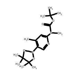 Cc1cc(N(C)C(=O)OC(C)(C)C)ncc1B1OC(C)(C)C(C)(C)O1